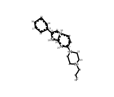 FCCN1CCN(c2ccn3cc(-c4ccccc4)nc3n2)CC1